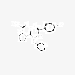 O=C(N[C@@H](Cc1cccnc1)C(=O)N1CCC[C@H]1C(=O)O)c1ccc(Br)cc1